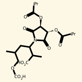 CC(COC(=O)O)CC(C(C)C(=O)O)N1C(=O)[C@@H](OC(=O)C(C)C)[C@H](OC(=O)C(C)C)C1=O